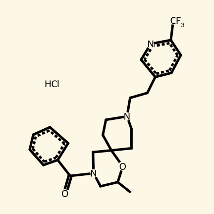 CC1CN(C(=O)c2ccccc2)CC2(CCN(CCc3ccc(C(F)(F)F)nc3)CC2)O1.Cl